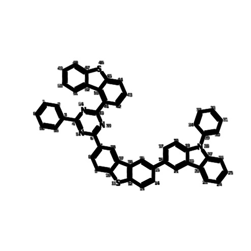 c1ccc(-c2nc(-c3ccc4sc5ccc(-c6ccc7c(c6)c6ccccc6n7-c6ccccc6)cc5c4c3)nc(-c3cccc4sc5ccccc5c34)n2)cc1